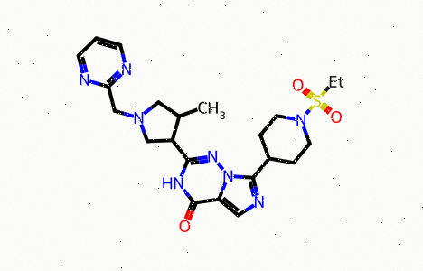 CCS(=O)(=O)N1CCC(c2ncc3c(=O)[nH]c(C4CN(Cc5ncccn5)CC4C)nn23)CC1